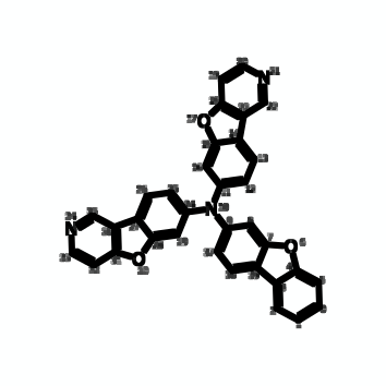 c1ccc2c(c1)oc1cc(N(c3ccc4c(c3)oc3ccncc34)c3ccc4c(c3)oc3ccncc34)ccc12